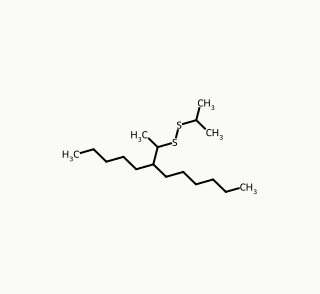 CCCCCCC(CCCCC)C(C)SSC(C)C